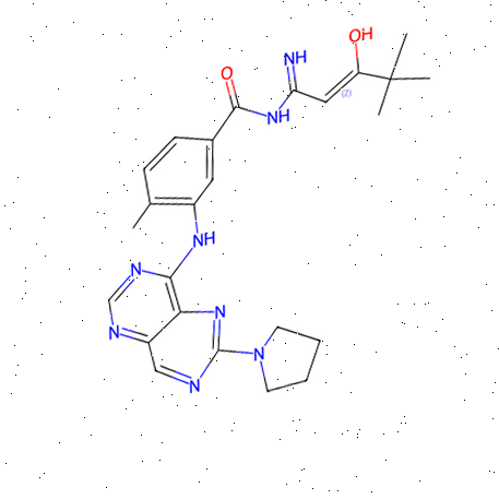 Cc1ccc(C(=O)NC(=N)/C=C(\O)C(C)(C)C)cc1Nc1ncnc2cnc(N3CCCC3)nc12